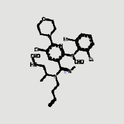 C=CCCN(/C(=N/C)c1cc(Cl)c(N2CCOCC2)nc1N(C=O)c1c(CC)cccc1CC)C(C)CNC=O